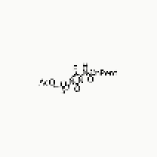 CCCCCOC(=O)Nc1nc(=O)n([C@@H]2CS[C@H](COC(C)=O)O2)cc1F